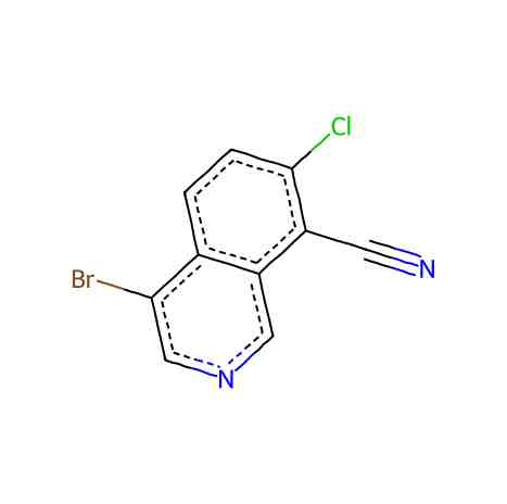 N#Cc1c(Cl)ccc2c(Br)cncc12